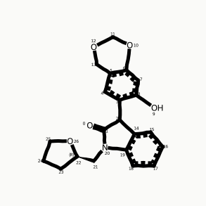 O=C1C(c2cc3c(cc2O)OCOC3)c2ccccc2N1C[C@H]1CCCO1